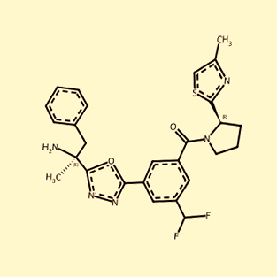 Cc1csc([C@H]2CCCN2C(=O)c2cc(-c3nnc([C@@](C)(N)Cc4ccccc4)o3)cc(C(F)F)c2)n1